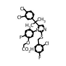 CC(C)(c1ccc(Cl)c(Cl)c1)c1cnc(SCc2ccc(F)cc2Cl)n1-c1ccc(F)c(OCC(=O)O)c1